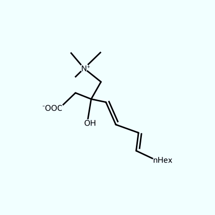 CCCCCCC=CC=CC(O)(CC(=O)[O-])C[N+](C)(C)C